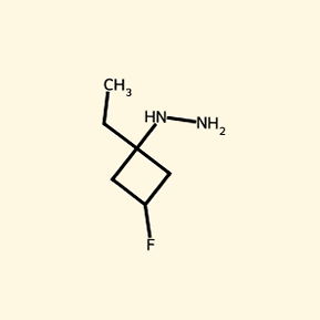 CCC1(NN)CC(F)C1